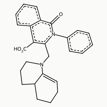 O=C(O)c1c(CN2CCCC3CCCC=C32)n(-c2ccccc2)c(=O)c2ccccc12